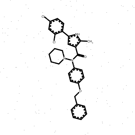 Cc1[nH]c(-c2ccc(Cl)cc2Cl)cc1C(=O)N(c1ccc(OCc2ccccc2)cc1)N1CCCCC1